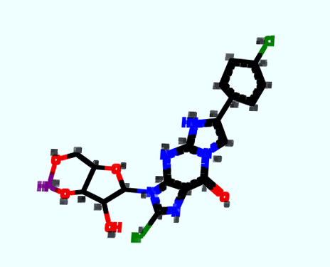 O=c1c2nc(Br)n(C3OC4COPOC4C3O)c2nc2[nH]c(-c3ccc(Cl)cc3)cn12